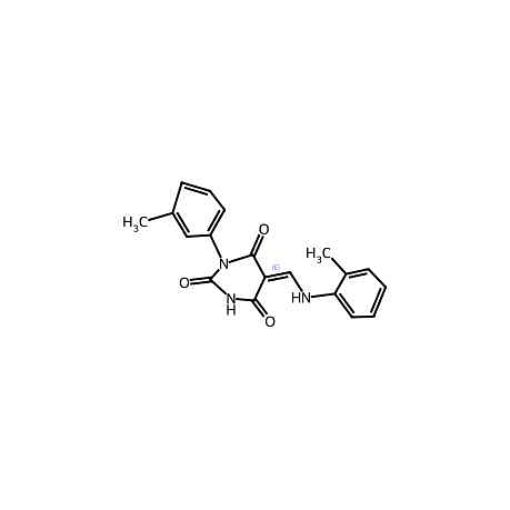 Cc1cccc(N2C(=O)NC(=O)/C(=C\Nc3ccccc3C)C2=O)c1